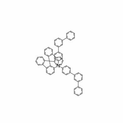 c1ccc(-c2cccc(-c3ccc(N(c4ccc(-c5cccc(-c6ccccc6)c5)cc4)c4cccc5c4C4(c6ccccc6-c6ccccc64)c4ccccc4-5)cc3)c2)cc1